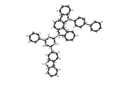 c1ccc(-c2ccc(-n3c4ccccc4c4ccc5c(c6ccccc6n5-c5nc(-c6ccccc6)nc(-c6ccc7c(c6)sc6ccccc67)n5)c43)cc2)cc1